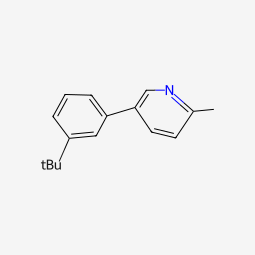 Cc1ccc(-c2cccc(C(C)(C)C)c2)cn1